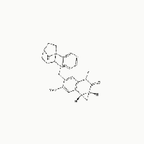 COc1cc2c(cc1CNC1CCC3CCC1(c1ccccc1)N3)N(C)C(=O)[C@@H]1C[C@H]21